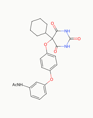 CC(=O)Nc1cccc(Oc2ccc(OC3(C4CCCCC4)C(=O)NC(=O)NC3=O)cc2)c1